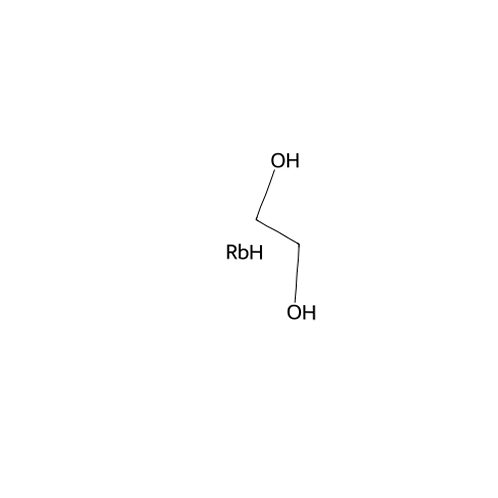 OCCO.[RbH]